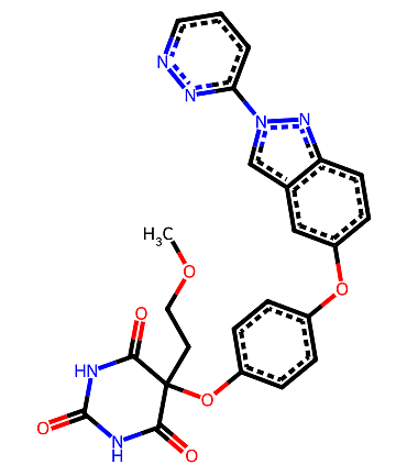 COCCC1(Oc2ccc(Oc3ccc4nn(-c5cccnn5)cc4c3)cc2)C(=O)NC(=O)NC1=O